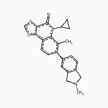 Cc1c(-c2ccc3c(c2)CN(C)C3)ccc2c3ocnc3c(=O)n(C3CC3)c12